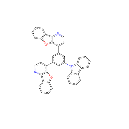 c1ccc2c(c1)oc1c(-c3cc(-c4ccnc5c4oc4ccccc45)cc(-n4c5ccccc5c5ccccc54)c3)ccnc12